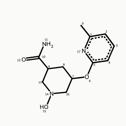 Cc1cccc(OC2CC(C(N)=O)CN(O)C2)n1